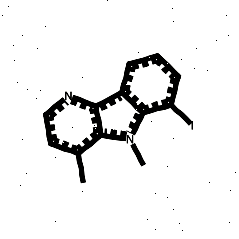 Cc1ccnc2c3cccc(I)c3n(C)c12